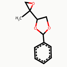 CC1(C2COC(c3ccccc3)O2)CO1